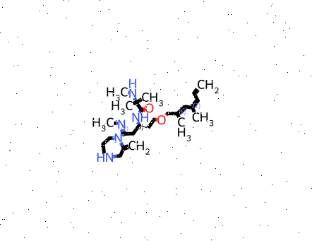 C=C/C=C(C)\C=C(/C)COCC[C@H](C/C(=N/C)N1CCCNCC1=C)NC(=O)C(C)(C)NC